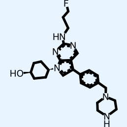 O[C@H]1CC[C@H](n2cc(-c3ccc(CN4CCNCC4)cc3)c3cnc(NCCCF)nc32)CC1